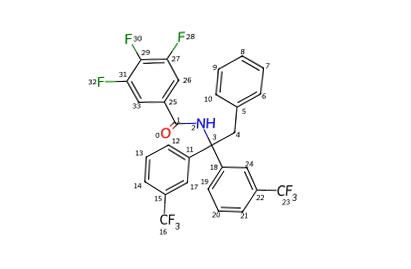 O=C(NC(Cc1ccccc1)(c1cccc(C(F)(F)F)c1)c1cccc(C(F)(F)F)c1)c1cc(F)c(F)c(F)c1